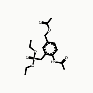 CCOP(=O)(Cc1cc(COC(C)=O)ccc1NC(C)=O)OCC